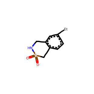 CCc1ccc2c(c1)CNS(=O)(=O)C2